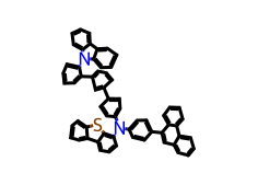 c1cc(-c2ccc(N(c3ccc(-c4cc5ccccc5c5ccccc45)cc3)c3cccc4c3sc3ccccc34)cc2)cc(-c2ccccc2-n2c3ccccc3c3ccccc32)c1